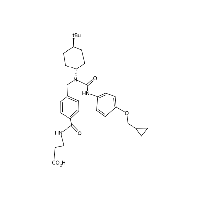 CC(C)(C)[C@H]1CC[C@H](N(Cc2ccc(C(=O)NCCC(=O)O)cc2)C(=O)Nc2ccc(OCC3CC3)cc2)CC1